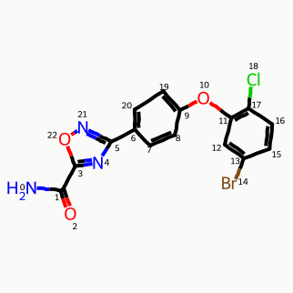 NC(=O)c1nc(-c2ccc(Oc3cc(Br)ccc3Cl)cc2)no1